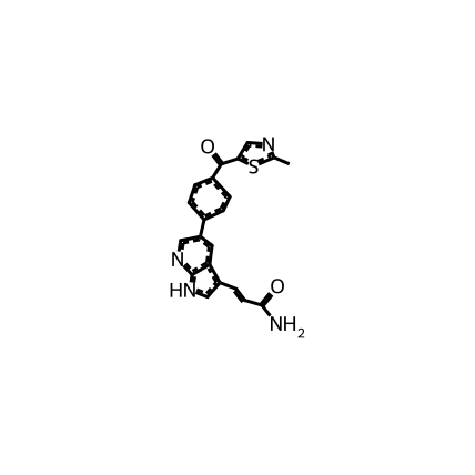 Cc1ncc(C(=O)c2ccc(-c3cnc4[nH]cc(C=CC(N)=O)c4c3)cc2)s1